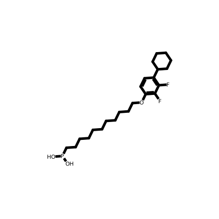 OP(O)CCCCCCCCCCCOc1ccc(C2CCCCC2)c(F)c1F